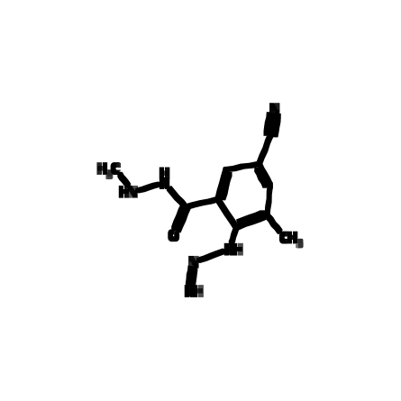 CNNC(=O)c1cc(C#N)cc(C)c1NN=N